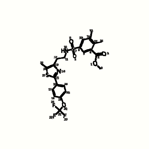 COC(=O)c1cc(S(=O)(=O)NCCc2nc(-c3ccc(OC(F)(F)F)cc3)sc2C)cc(C)c1C